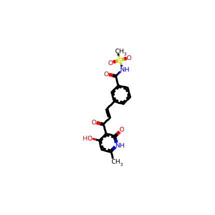 Cc1cc(O)c(C(=O)C=Cc2cccc(C(=O)NS(C)(=O)=O)c2)c(=O)[nH]1